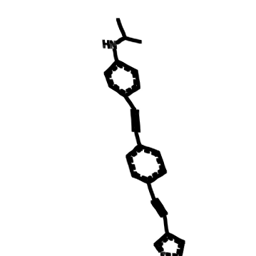 CC(C)Nc1ccc(C#Cc2ccc(C#Cc3ccsc3)cc2)cc1